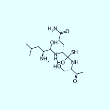 CC(=O)[C@H](CO)NC(O)(S)[C@@H](CCC(N)=O)NC(O)[C@@H](N)CC(C)C